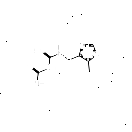 Cc1[nH]cnc1CNC(=N)NC(N)=O